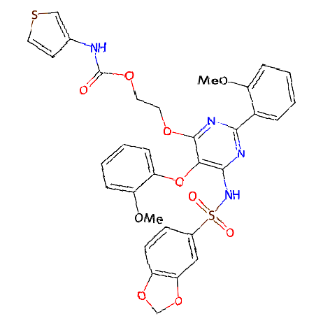 COc1ccccc1Oc1c(NS(=O)(=O)c2ccc3c(c2)OCO3)nc(-c2ccccc2OC)nc1OCCOC(=O)Nc1ccsc1